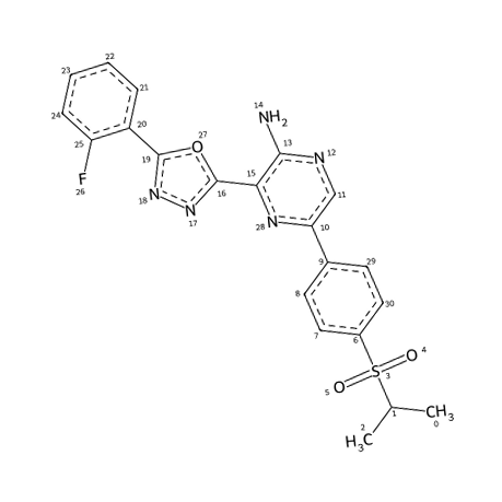 CC(C)S(=O)(=O)c1ccc(-c2cnc(N)c(-c3nnc(-c4ccccc4F)o3)n2)cc1